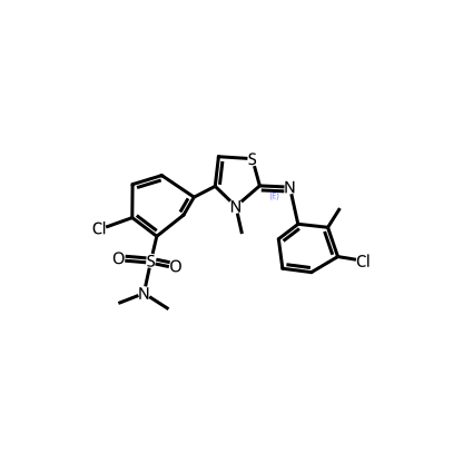 Cc1c(Cl)cccc1/N=c1/scc(-c2ccc(Cl)c(S(=O)(=O)N(C)C)c2)n1C